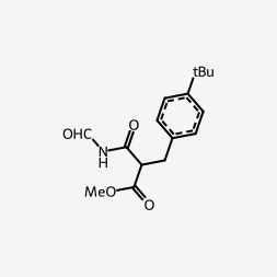 COC(=O)C(Cc1ccc(C(C)(C)C)cc1)C(=O)NC=O